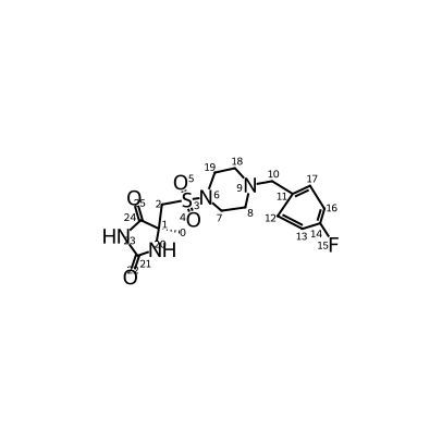 C[C@]1(CS(=O)(=O)N2CCN(Cc3ccc(F)cc3)CC2)NC(=O)NC1=O